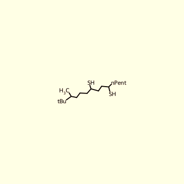 CCCCCC(S)CCC(S)CCCC(C)C(C)(C)C